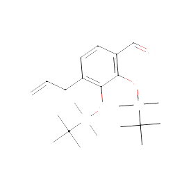 C=CCc1ccc(C=O)c(O[Si](C)(C)C(C)(C)C)c1O[Si](C)(C)C(C)(C)C